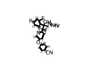 N#Cc1ccc(Oc2ccc(C(F)(F)C(O)(CN=[N+]=[N-])c3ccc(F)cc3F)nc2)cc1